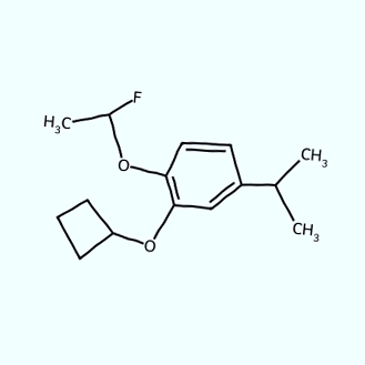 CC(F)Oc1ccc(C(C)C)cc1OC1CCC1